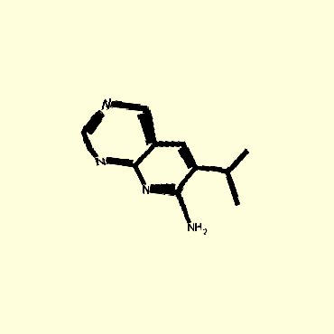 CC(C)c1cc2cncnc2nc1N